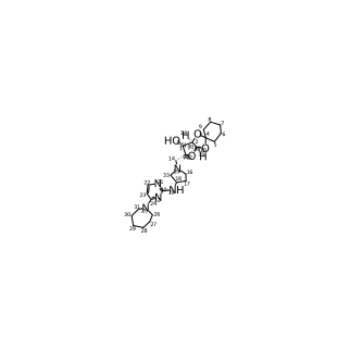 O[C@@H]1[C@H]2OC3(CCCCC3)O[C@H]2O[C@@H]1CN1CCC(Nc2nccc(N3CCCCCC3)n2)C1